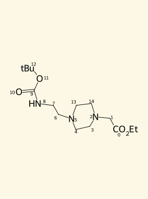 CCOC(=O)CN1CCN(CCNC(=O)OC(C)(C)C)CC1